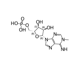 Cn1cnc2c(ncn2[C@@H]2O[C@H](COP(=O)(O)O)[C@@H](O)[C@H]2O)c1=N